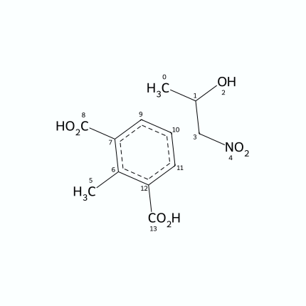 CC(O)C[N+](=O)[O-].Cc1c(C(=O)O)cccc1C(=O)O